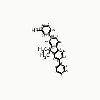 CC1(C)c2cc(-c3ccccc3)ccc2-c2ccc(-c3cccc(S)c3)cc21